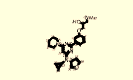 CNCC(O)COc1cccc(-c2nc(N3CCCCC3)cc(N(C3CC3)[C@@H]3CCOC3)n2)c1